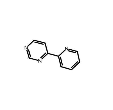 [c]1nccc(-c2ccccn2)n1